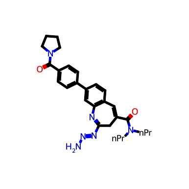 CCCN(CCC)C(=O)C1=Cc2ccc(-c3ccc(C(=O)N4CCCC4)cc3)cc2N=C(N=NN)C1